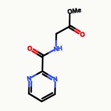 COC(=O)CNC(=O)c1ncccn1